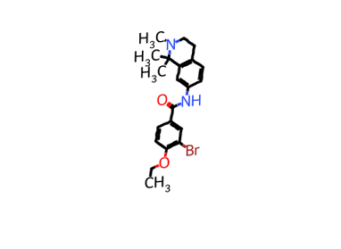 CCOc1ccc(C(=O)Nc2ccc3c(c2)C(C)(C)N(C)CC3)cc1Br